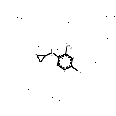 O=[N+]([O-])c1cc(I)ccc1NC1CC1